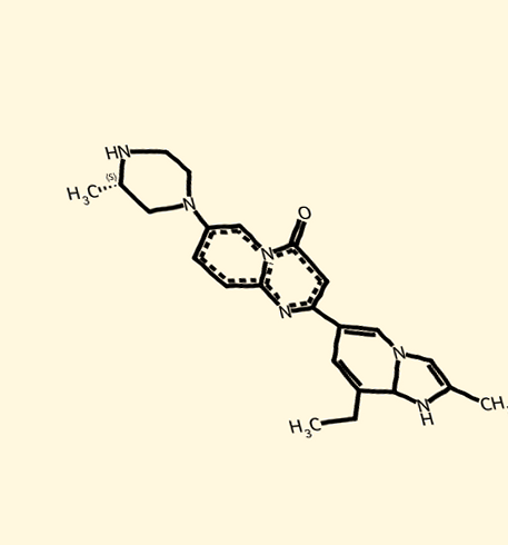 CCC1=CC(c2cc(=O)n3cc(N4CCN[C@@H](C)C4)ccc3n2)=CN2C=C(C)NC12